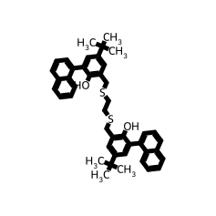 CC(C)(C)c1cc(CSCCSCc2cc(C(C)(C)C)cc(-c3cccc4ccccc34)c2O)c(O)c(-c2cccc3ccccc23)c1